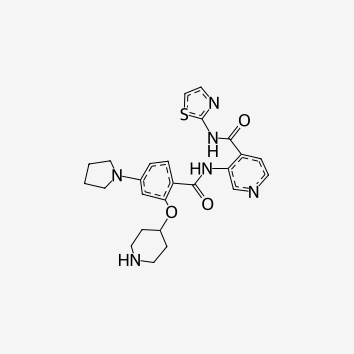 O=C(Nc1nccs1)c1ccncc1NC(=O)c1ccc(N2CCCC2)cc1OC1CCNCC1